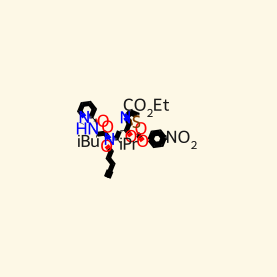 C#CCCCON(C(=O)[C@@H](NC(=O)[C@H]1CCCCN1C)[C@@H](C)CC)[C@H](C[C@@H](OC(=O)Oc1ccc([N+](=O)[O-])cc1)c1nc(C(=O)OCC)cs1)C(C)C